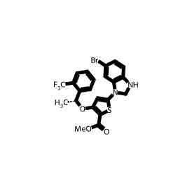 COC(=O)c1sc(N2CNc3ccc(Br)cc32)cc1O[C@H](C)c1ccccc1C(F)(F)F